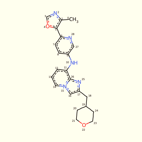 Cc1ncoc1-c1ccc(Nc2cccn3cc(CC4CCOCC4)nc23)cn1